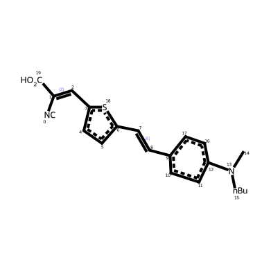 [C-]#[N+]/C(=C\c1ccc(/C=C/c2ccc(N(C)CCCC)cc2)s1)C(=O)O